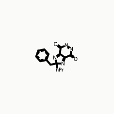 CCCC1(Cc2ccccc2)N=C2C(=O)N=NC(=O)C2=N1